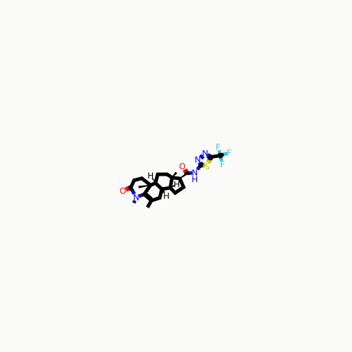 CC1=C2N(C)C(=O)CC[C@]2(C)[C@H]2CC[C@]3(C)[C@@H](C(=O)Nc4nnc(C(F)(F)F)s4)CC[C@H]3[C@@H]2C1